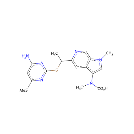 CSc1cc(N)nc(SC(C)c2cc3c(N(C)C(=O)O)cn(C)c3cn2)n1